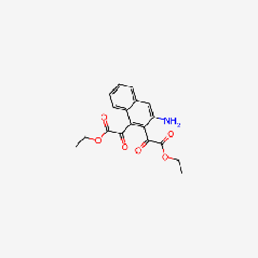 CCOC(=O)C(=O)c1c(N)cc2ccccc2c1C(=O)C(=O)OCC